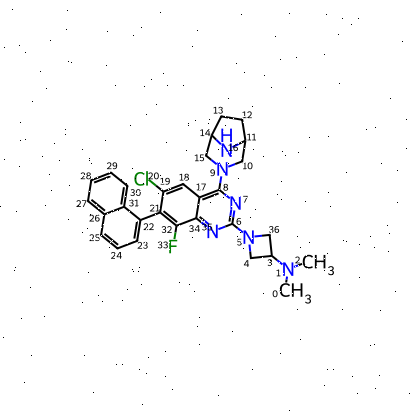 CN(C)C1CN(c2nc(N3CC4CCC(C3)N4)c3cc(Cl)c(-c4cccc5ccccc45)c(F)c3n2)C1